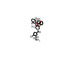 Cc1nc2ccccc2n1C1C[C@H]2CC[C@@H](C1)N2CCC1(c2cccc(O)c2)CCN(C(=O)c2ccc(Cl)c(S(N)(=O)=O)c2)CC1